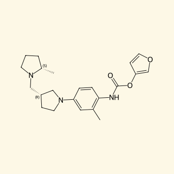 Cc1cc(N2CC[C@H](CN3CCC[C@@H]3C)C2)ccc1NC(=O)Oc1ccoc1